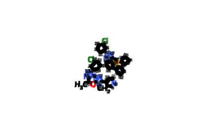 CC(Oc1nnc(-c2ccncc2)n1C)c1nnn(-c2cccc(Cl)c2)n1.Clc1cccc(-n2nnc(C[PH](c3ccccc3)(c3ccccc3)c3ccccc3)n2)c1